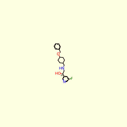 O[C@@H](CNCC1CCC(OCc2ccccc2)CC1)c1cncc(F)c1